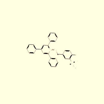 NS(=O)(=O)c1cc(C(=O)N[n+]2c(-c3ccccc3)cc(-c3ccccc3)cc2-c2ccccc2)ccc1Cl